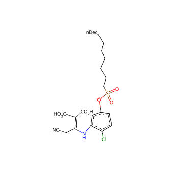 CCCCCCCCCCCCCCCCS(=O)(=O)Oc1ccc(Cl)c(NC(CC#N)=C(C(=O)O)C(=O)O)c1